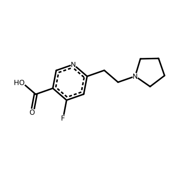 O=C(O)c1cnc(CCN2CCCC2)cc1F